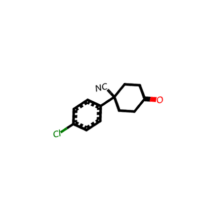 N#CC1(c2ccc(Cl)cc2)CCC(=O)CC1